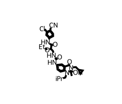 CCOC(CNC(=O)Nc1ccc2c(c1)C(=O)N(CC1CC1)C(C)(O)N2CC(C)C)C(=O)Nc1ccc(C#N)c(Cl)c1